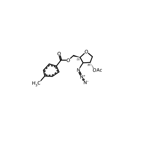 CC(=O)O[C@H]1CO[C@H](COC(=O)c2ccc(C)cc2)C1N=[N+]=[N-]